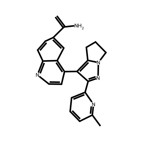 C=C(N)c1ccc2nccc(-c3c(-c4cccc(C)n4)nn4c3CCC4)c2c1